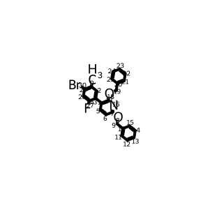 Cc1cc(-c2ccc(OCc3ccccc3)nc2OCc2ccccc2)c(F)cc1Br